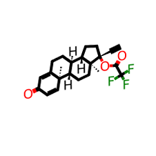 C#C[C@]1(OC(=O)C(F)(F)F)CC[C@H]2[C@@H]3CCC4=CC(=O)C=C[C@]4(C)[C@H]3CC[C@@]21C